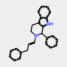 C(=C\N1CCc2c([nH]c3ccccc23)C1c1ccccc1)/Cc1ccccc1